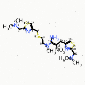 CN(C)Cc1nc(CSCCN(C)/C(N)=C(/Cc2csc(CN(C)C)n2)[N+](=O)[O-])cs1